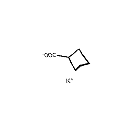 O=C([O-])C1CCC1.[K+]